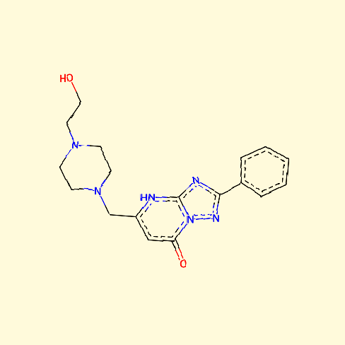 O=c1cc(CN2CCN(CCO)CC2)[nH]c2nc(-c3ccccc3)nn12